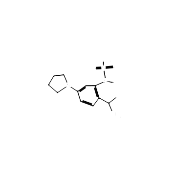 CC(C)c1ccc(N2CCCC2)cc1N(C)S(C)(=O)=O